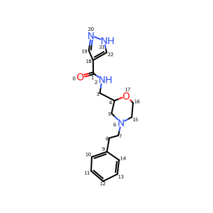 O=C(NCC1CN(CCc2ccccc2)CCO1)c1cn[nH]c1